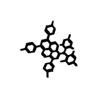 Cc1ccc(-c2cc(B(c3c(C)cc(C)cc3C)c3c(C)cc(C)cc3C)c3ccc4c(-c5ccc(C)cc5)cc(-c5ccc(C)cc5)c5ccc2c3c45)cc1